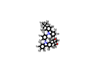 [2H]c1c([2H])c(-n2c3c([2H])c([2H])c([2H])c([2H])c3c3c([2H])c([2H])c(C(C([2H])([2H])[2H])(C([2H])([2H])[2H])C([2H])([2H])[2H])c([2H])c32)c([2H])c(-n2c3c([2H])c([2H])c([2H])c([2H])c3c3c([2H])c([2H])c(C(C([2H])([2H])[2H])(C([2H])([2H])[2H])C([2H])([2H])[2H])c([2H])c32)c1[2H]